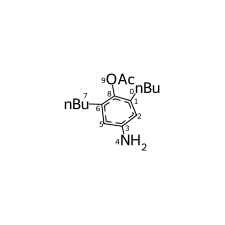 CCCCc1cc(N)cc(CCCC)c1OC(C)=O